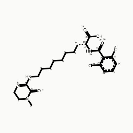 CN1CCN=C(NCCCCCCCC[C@@H](NC(=O)c2c(Cl)cccc2Cl)C(=O)O)C1=O